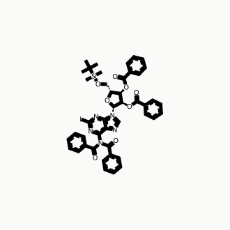 CC(C)(C)[Si](C)(C)OC[C@H]1O[C@@H](n2cnc3c(N(C(=O)c4ccccc4)C(=O)c4ccccc4)nc(I)nc32)[C@H](OC(=O)c2ccccc2)[C@@H]1OC(=O)c1ccccc1